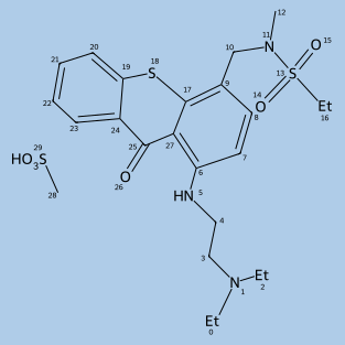 CCN(CC)CCNc1ccc(CN(C)S(=O)(=O)CC)c2sc3ccccc3c(=O)c12.CS(=O)(=O)O